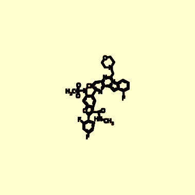 CNC(=O)c1c(-c2ccc(F)cc2F)oc2cc(N(C)S(C)(=O)=O)c(-c3ccc4nc(CN5CCOCC5)n5c6cccc(F)c6cc5c4n3)cc12